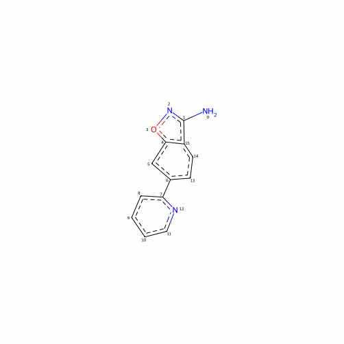 Nc1noc2cc(-c3ccccn3)ccc12